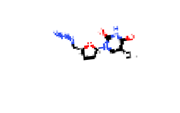 Cc1cn([C@H]2C=C[C@@H](CN=[N+]=N)O2)c(=O)[nH]c1=O